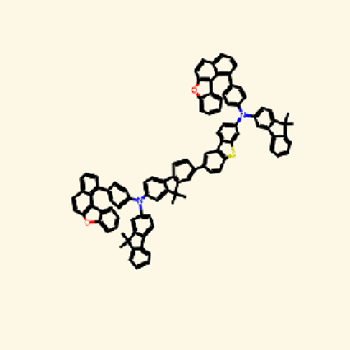 CC1(C)c2ccccc2-c2cc(N(c3ccc(-c4cccc5ccc6oc7ccccc7c6c45)cc3)c3ccc4c(c3)sc3ccc(-c5ccc6c(c5)C(C)(C)c5cc(N(c7ccc(-c8cccc9ccc%10oc%11ccccc%11c%10c89)cc7)c7ccc8c(c7)C(C)(C)c7ccccc7-8)ccc5-6)cc34)ccc21